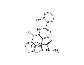 NNC(=O)C1(C(=O)N(NC(=O)c2ccccc2O)C(=O)c2ccccc2O)CCCCO1